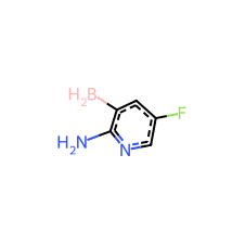 Bc1cc(F)cnc1N